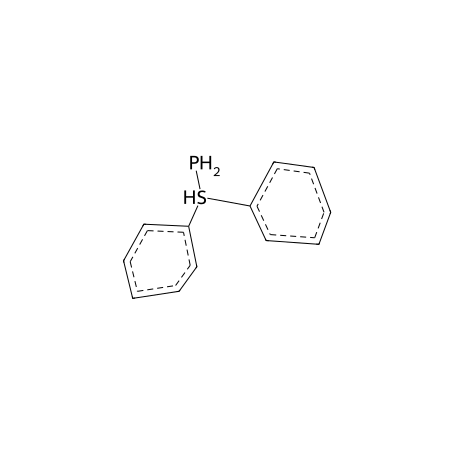 P[SH](c1ccccc1)c1ccccc1